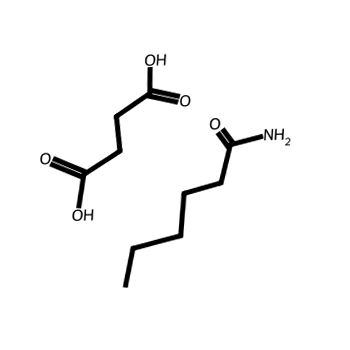 CCCCCC(N)=O.O=C(O)CCC(=O)O